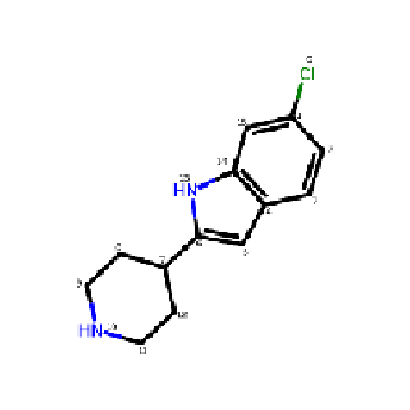 Clc1ccc2cc(C3CCNCC3)[nH]c2c1